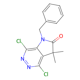 CC1(C)C(=O)N(Cc2ccccc2)c2c(Cl)nnc(Cl)c21